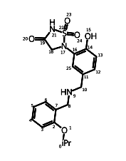 CC(C)Oc1ccccc1CNCc1ccc(O)c(N2CC(=O)NS2(=O)=O)c1